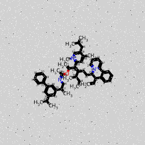 C=CC1c2ccccc2-c2cccc[n+]2C1CC/C(=C(/C(=C)O/C(C)=N\CC(C)c1cc(-c2ccccc2)cc(C(C)C)c1)c1cc(C)c(CC(C)C)c[n+]1C)C(C)CC